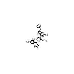 C[C@@H]1CN(c2nc(Cl)nc3c2ncn3C[C@@H]2CCCO2)[C@@H](C)CN1C(c1ccc(Cl)cc1)[C@H]1CC1(F)F